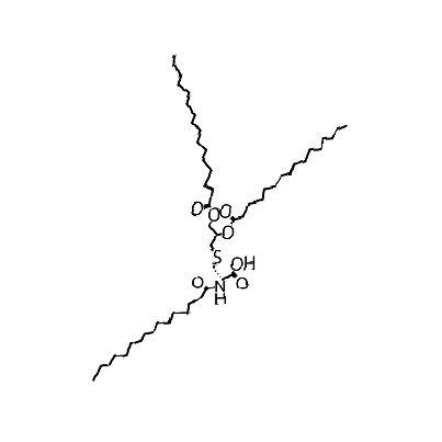 CCCCCCCCCCCCCCCC(=O)N[C@H](CSCC(COC(=O)CCCCCCCCCCCCCCC)OC(=O)CCCCCCCCCCCCCCC)C(=O)O